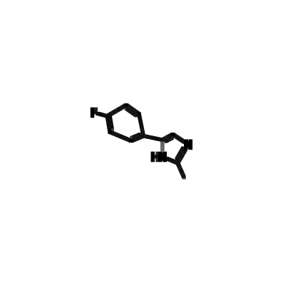 Cc1ncc(-c2ccc(F)cc2)[nH]1